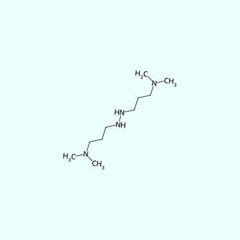 CN(C)CCCNNCCCN(C)C